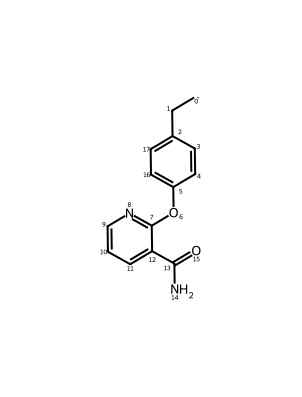 [CH2]Cc1ccc(Oc2ncccc2C(N)=O)cc1